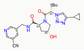 CC(C)(C)[C@@H](C(=O)N1C[C@H](O)C[C@H]1C(=O)NCc1cncc(C#N)c1)n1cc(C2CC2)nn1